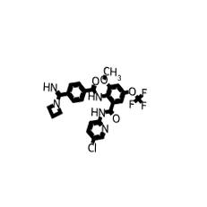 COc1cc(OC(F)(F)F)cc(C(=O)Nc2ccc(Cl)cn2)c1NC(=O)c1ccc(C(=N)N2CCC2)cc1